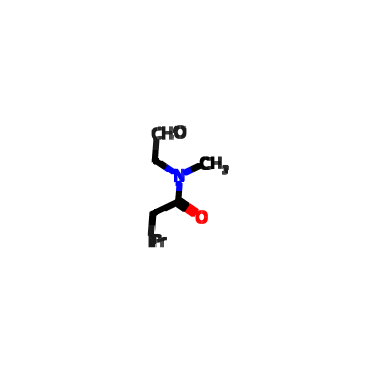 CC(C)CC(=O)N(C)CC=O